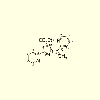 CCOC(=O)c1cc(-c2ccccn2)nn1C(C)c1ccccn1